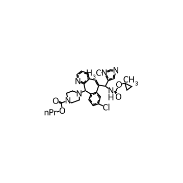 CCCOC(=O)N1CCN(C2c3ccc(Cl)cc3C(C(NC(=O)OC3(C)CC3)c3cncn3C)=Cc3cccnc32)CC1